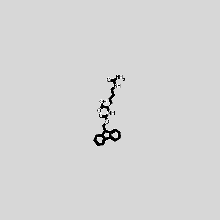 NC(=O)NCCCC[C@H](NC(=O)OCC1c2ccccc2-c2ccccc21)C(=O)O